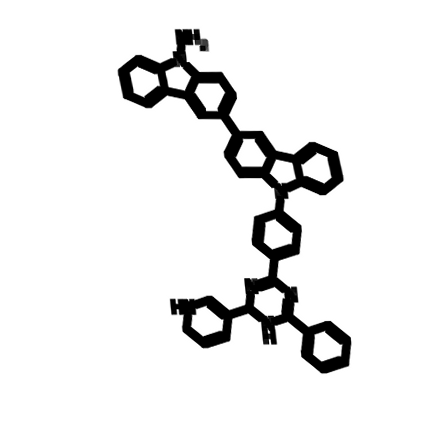 Nn1c2ccccc2c2cc(-c3ccc4c(c3)c3ccccc3n4-c3ccc(C4=NC(C5=CNCC=C5)NC(c5ccccc5)=N4)cc3)ccc21